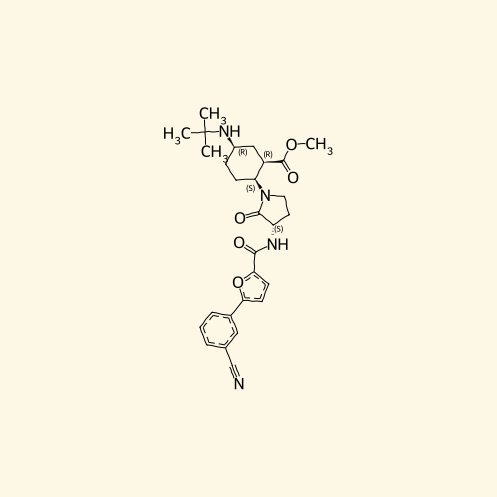 COC(=O)[C@@H]1C[C@H](NC(C)(C)C)CC[C@@H]1N1CC[C@H](NC(=O)c2ccc(-c3cccc(C#N)c3)o2)C1=O